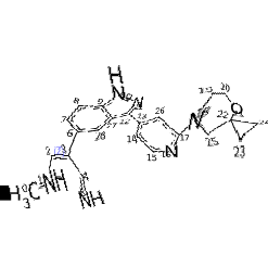 CN/C=C(\C=N)c1ccc2[nH]nc(-c3ccnc(N4CCOC5(CC5)C4)c3)c2c1